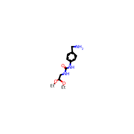 CCOC(CNC(=O)Nc1ccc(CN)cc1)OCC